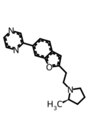 C[C@@H]1CCCN1CCc1cc2ccc(-c3cnccn3)cc2o1